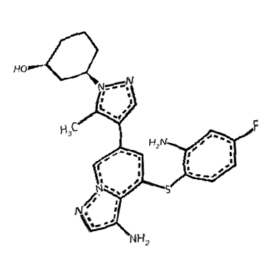 Cc1c(-c2cc(Sc3ccc(F)cc3N)c3c(N)cnn3c2)cnn1[C@@H]1CCC[C@H](O)C1